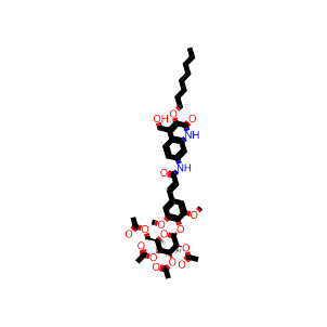 CCCCCCCCOc1c(CO)c2ccc(NC(=O)C=Cc3cc(OC)c(O[C@@H]4O[C@H](COC(C)=O)[C@H](OC(C)=O)[C@H](OC(C)=O)[C@H]4OC(C)=O)c(OC)c3)cc2[nH]c1=O